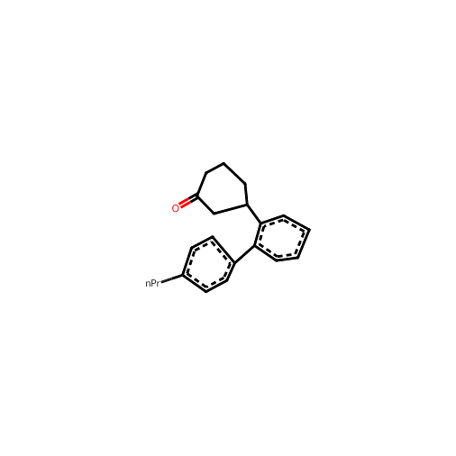 CCCc1ccc(-c2ccccc2C2CCCC(=O)C2)cc1